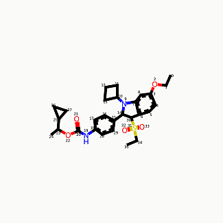 CCOc1ccc2c(c1)N(C1CCC1)C(c1ccc(NC(=O)OC(C)C3CC3)cc1)C2S(=O)(=O)CC